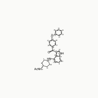 CC(=O)N[C@H]1CC[C@@H](Nc2ncnc3[nH]cc(C(=O)c4ccc(Oc5ccccc5)cc4)c23)CC1